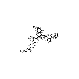 CCOC(=O)N1CCN(C(=O)C(CC(=O)O)NC(=O)c2cc(O[C@H](C)C(=O)N3CCCC3C(=O)NC3CCC3)c3ccc(C)cc3n2)CC1